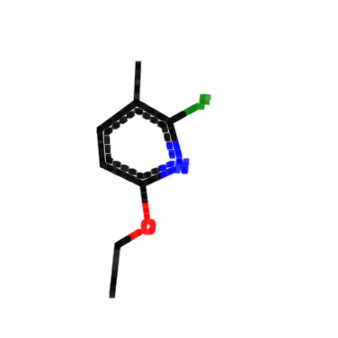 CCOc1ccc(C)c(F)n1